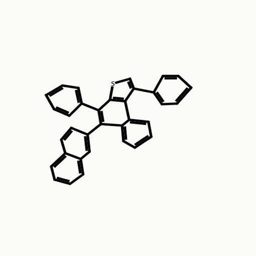 c1ccc(-c2c(-c3ccc4ccccc4c3)c3ccccc3c3c(-c4ccccc4)csc23)cc1